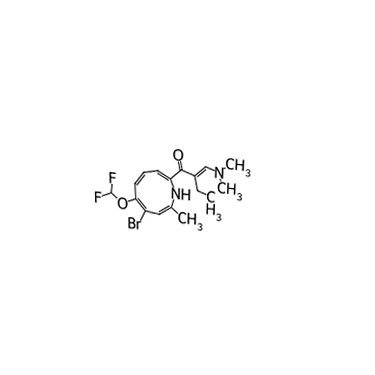 CC/C(=C\N(C)C)C(=O)c1cccc(OC(F)F)c(Br)cc(C)[nH]1